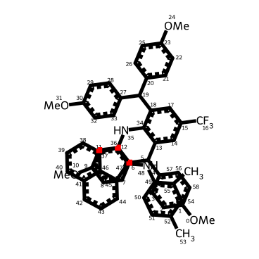 COc1ccc(C(c2ccc(OC)cc2)c2cc(C(F)(F)F)cc(C(c3ccc(OC)cc3)c3ccc(OC)cc3)c2NC2c3cccc4cccc(c34)C2Nc2ccc(C)cc2C)cc1